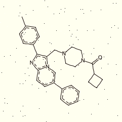 Cc1ccc(-c2nc3ccc(-c4ccccc4)cn3c2CN2CCN(C(=O)C3CCC3)CC2)cc1